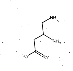 NCC(N)CC([O])=O